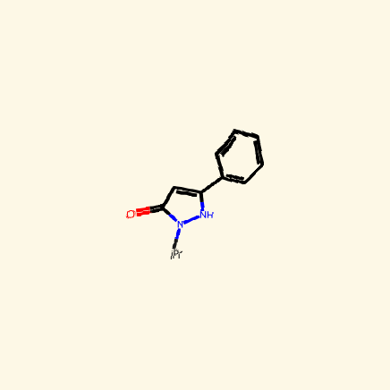 CC(C)n1[nH]c(-c2ccccc2)cc1=O